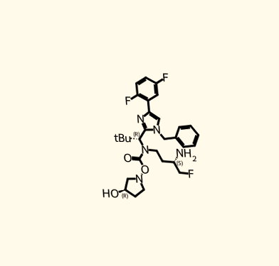 CC(C)(C)[C@H](c1nc(-c2cc(F)ccc2F)cn1Cc1ccccc1)N(CC[C@H](N)CF)C(=O)ON1CC[C@@H](O)C1